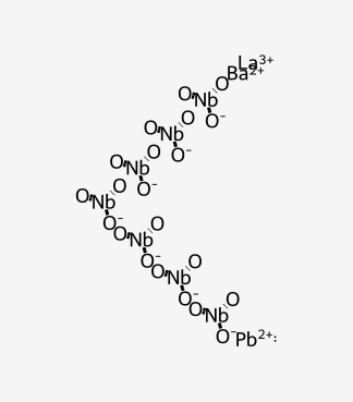 [Ba+2].[La+3].[O]=[Nb](=[O])[O-].[O]=[Nb](=[O])[O-].[O]=[Nb](=[O])[O-].[O]=[Nb](=[O])[O-].[O]=[Nb](=[O])[O-].[O]=[Nb](=[O])[O-].[O]=[Nb](=[O])[O-].[Pb+2]